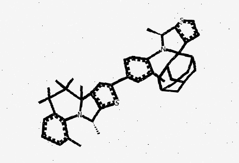 Cc1cc(-c2cc3c(s2)[C@H](C)N2c4c(C)cccc4C(C)(C)C(C)(C)C32C)ccc1N1[C@@H](C)c2sccc2C12C1CC3CC(C1)CC2C3